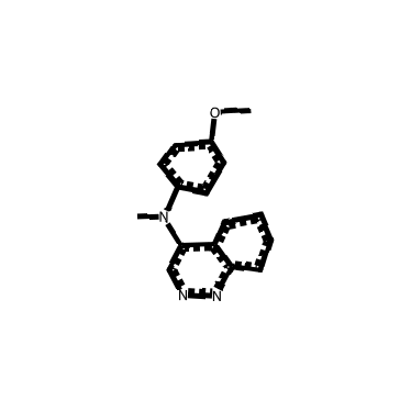 COc1ccc(N(C)c2cnnc3ccccc23)cc1